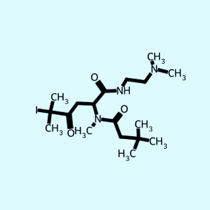 CN(C)CCNC(=O)C(CC(=O)C(C)(C)I)N(C)C(=O)CC(C)(C)C